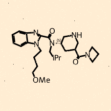 COCCCCn1c(C(=O)N(CC(C)C)[C@@H]2CNCC(C(=O)N3CCC3)C2)nc2ccccc21